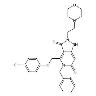 O=c1c2c(COc3ccc(Cl)cc3)n(Cc3ccccn3)c(=O)cc2[nH]n1CCN1CCOCC1